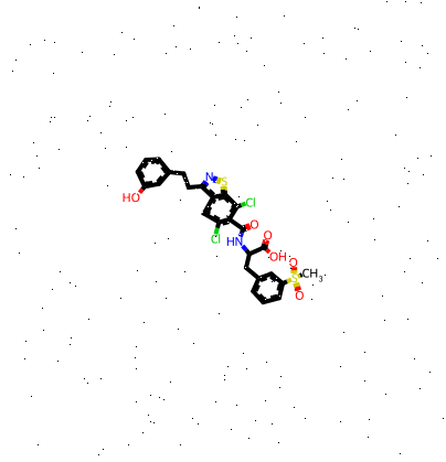 CS(=O)(=O)c1cccc(CC(NC(=O)c2c(Cl)cc3c(CCc4cccc(O)c4)nsc3c2Cl)C(=O)O)c1